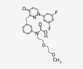 COCCOCCN(C(=O)O)c1cccc(Cc2nn(-c3cc(F)cc(F)c3)ccc2=O)c1